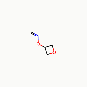 C=NOC1COC1